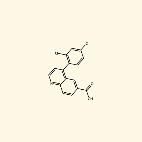 O=C(O)c1ccc2nccc(-c3ccc(Cl)cc3Cl)c2c1